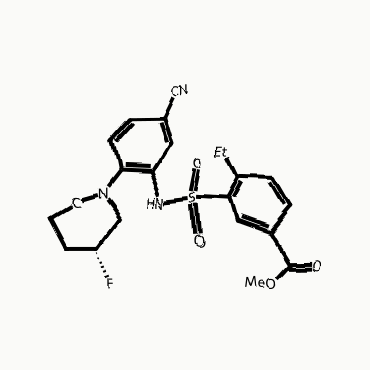 CCc1ccc(C(=O)OC)cc1S(=O)(=O)Nc1cc(C#N)ccc1N1CCC[C@@H](F)C1